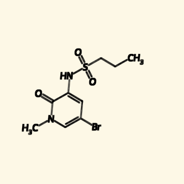 CCCS(=O)(=O)Nc1cc(Br)cn(C)c1=O